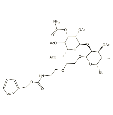 CC[C@@H]1OC(OCCOCCNC(=O)OCc2ccccc2)[C@@H](O[C@H]2O[C@H](COC(C)=O)C(OC(C)=O)[C@H](OC(N)=O)[C@@H]2OC(C)=O)[C@@H](OC(C)=O)[C@@H]1C